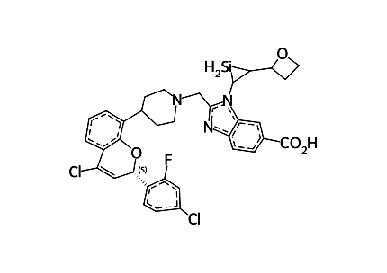 O=C(O)c1ccc2nc(CN3CCC(c4cccc5c4O[C@H](c4ccc(Cl)cc4F)C=C5Cl)CC3)n(C3[SiH2]C3C3CCO3)c2c1